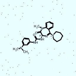 CN(C)c1cccc(NC(=O)N[C@@H]2N=C(N3CCCCCC3)c3ccccc3N(C)C2=O)c1